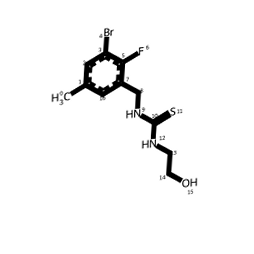 Cc1cc(Br)c(F)c(CNC(=S)NCCO)c1